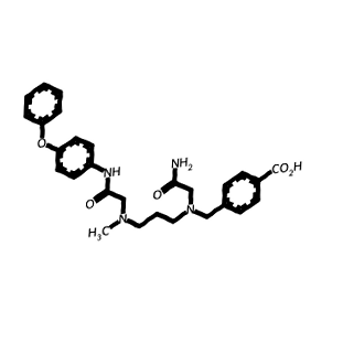 CN(CCCN(CC(N)=O)Cc1ccc(C(=O)O)cc1)CC(=O)Nc1ccc(Oc2ccccc2)cc1